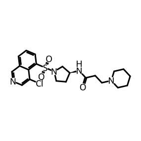 O=C(CCN1CCCCC1)N[C@H]1CCN(S(=O)(=O)c2cccc3cncc(Cl)c23)C1